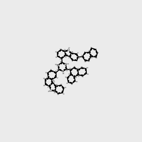 c1ccc2cc(-c3ccc4c(c3)oc3cccc(-c5nc(-c6ccc7ccc8oc9ccccc9c8c7c6)nc(-c6cc7ccccc7c7ccccc67)n5)c34)ccc2c1